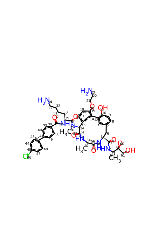 C[C@H](NC(=O)[C@@H]1Cc2ccc(O)c(c2)-c2cc(ccc2OCCN)[C@H](N(C)C(=O)[C@H](CCCCN)NC(=O)c2ccc(-c3ccc(Cl)cc3)cc2)C(=O)N[C@@H](C)C(=O)N1)C(=O)CO